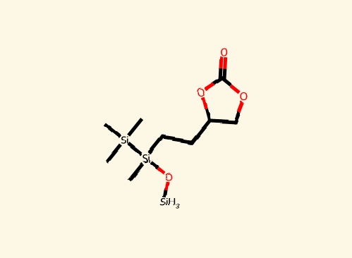 C[Si](C)(C)[Si](C)(CCC1COC(=O)O1)O[SiH3]